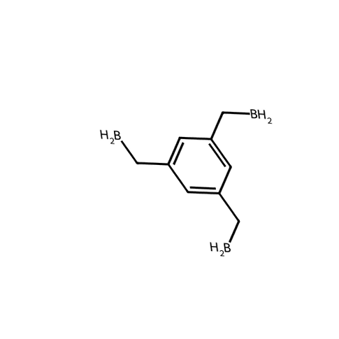 BCc1cc(CB)cc(CB)c1